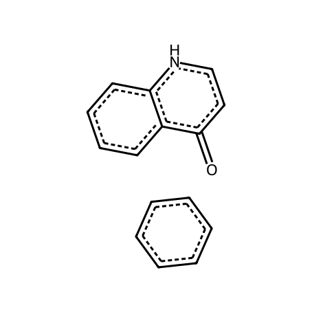 O=c1cc[nH]c2ccccc12.c1ccccc1